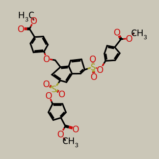 COC(=O)c1ccc(OCc2cc(S(=O)(=O)Oc3ccc(C(=O)OC)cc3)cc3cc(S(=O)(=O)Oc4ccc(C(=O)OC)cc4)ccc23)cc1